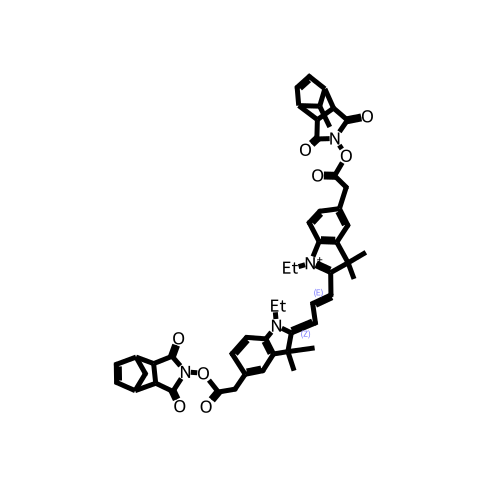 CCN1/C(=C\C=C\C2=[N+](CC)c3ccc(CC(=O)ON4C(=O)C5C6C=CC(C6C)C5C4=O)cc3C2(C)C)C(C)(C)c2cc(CC(=O)ON3C(=O)C4C5C=CC(C5)C4C3=O)ccc21